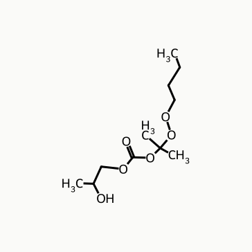 CCCCOOC(C)(C)OC(=O)OCC(C)O